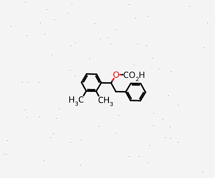 Cc1cccc(C(Cc2ccccc2)OC(=O)O)c1C